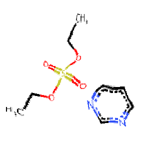 CCOS(=O)(=O)OCC.c1cncnc1